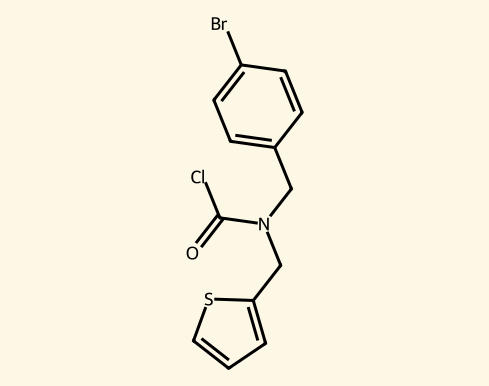 O=C(Cl)N(Cc1ccc(Br)cc1)Cc1cccs1